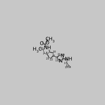 COC(=O)NC(C)Cc1ccc(-c2cnc(NC3CC3)nc2)cc1